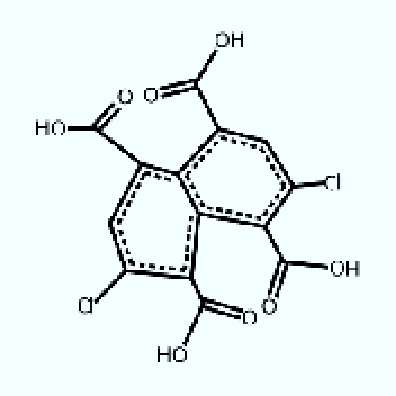 O=C(O)c1cc(Cl)c(C(=O)O)c2c(C(=O)O)c(Cl)cc(C(=O)O)c12